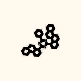 c1ccc(-c2nc(-c3cccc4c3ccc3ccccc34)nc(-c3cccc4ccc5c6ccccc6ccc5c34)n2)cc1